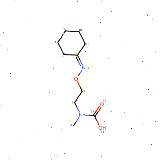 CN(CCON=C1CCCCC1)C(=O)O